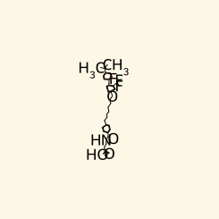 CC(C)c1ccc(-c2ccc(OCCCCCCCc3ccc(C(=O)NCCC(=O)O)cc3)cc2C(F)(F)F)cc1